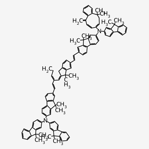 C=C/C=C(/C=C/c1ccc2c(c1)C(C)(C)c1cc(N(c3ccc4c(c3)C(C)(C)c3ccccc3-4)c3ccc4c(c3)C(C)(C)c3ccccc3-4)ccc1-2)\C=C1/Cc2ccc(/C=C/c3ccc4c(c3)C(C)(C)c3cc(N(C5=C/CC(C)(C)c6ccccc6C(=C)/C=C\5)c5ccc6c(c5)C(C)(C)c5ccccc5-6)ccc3-4)cc2C1(C)C